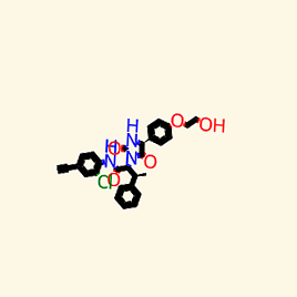 C#Cc1ccc(NC(=O)C([C@@H](C)c2ccccc2)N2C(=O)N[C@H](c3ccc(OCCO)cc3)C2=O)c(Cl)c1